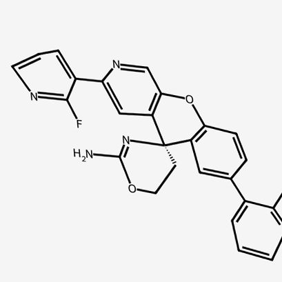 NC1=N[C@]2(CCO1)c1cc(-c3cccnc3F)ccc1Oc1cnc(-c3cccnc3F)cc12